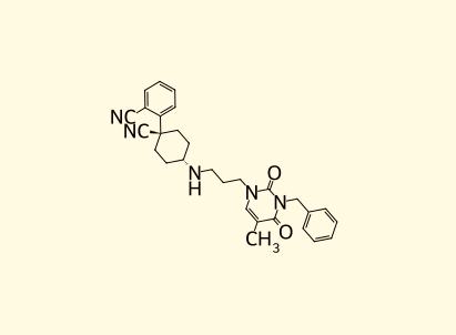 Cc1cn(CCCN[C@H]2CC[C@@](C#N)(c3ccccc3C#N)CC2)c(=O)n(Cc2ccccc2)c1=O